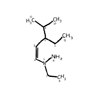 CCC(/C=C\N(N)CC)C(C)C